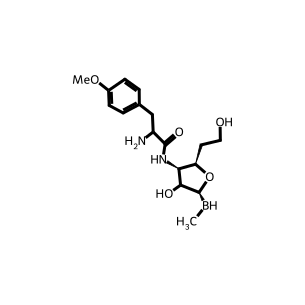 CB[C@@H]1O[C@H](CCO)[C@H](NC(=O)C(N)Cc2ccc(OC)cc2)C1O